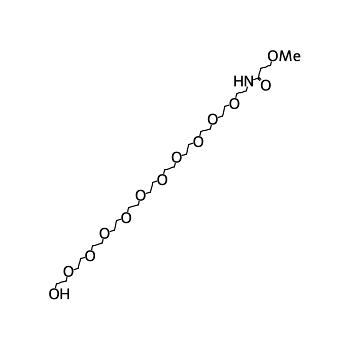 COCCC(=O)NCCOCCOCCOCCOCCOCCOCCOCCOCCOCCOCCO